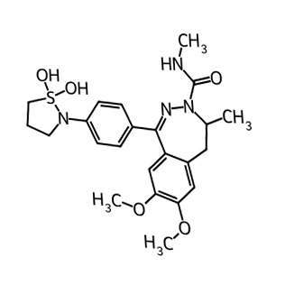 CNC(=O)N1N=C(c2ccc(N3CCCS3(O)O)cc2)c2cc(OC)c(OC)cc2CC1C